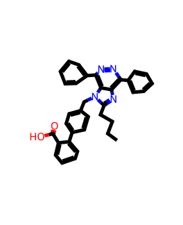 CCCCc1nc2c(-c3ccccc3)nnc(-c3ccccc3)c2n1Cc1ccc(-c2ccccc2C(=O)O)cc1